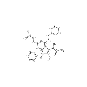 CCc1c(C(=O)C(N)=O)c2c(OCc3ccccc3)cc(COC(C)=O)cc2n1Cc1ccccc1